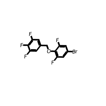 Fc1cc(COc2c(F)cc(Br)cc2F)cc(F)c1F